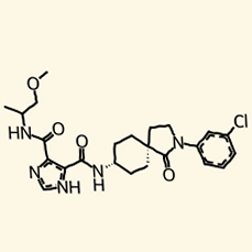 COCC(C)NC(=O)c1nc[nH]c1C(=O)N[C@H]1CC[C@@]2(CCN(c3cccc(Cl)c3)C2=O)CC1